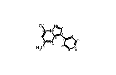 Cc1cc(Cl)n2ncc(-c3ccncc3)c2n1